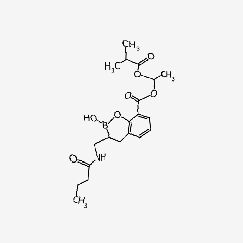 CCCC(=O)NCC1Cc2cccc(C(=O)OC(C)OC(=O)C(C)C)c2OB1O